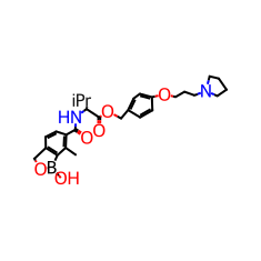 Cc1c(C(=O)N[C@H](C(=O)OCc2ccc(OCCCN3CCCC3)cc2)C(C)C)ccc2c1B(O)OC2